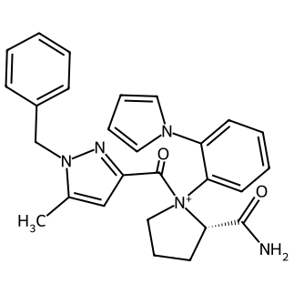 Cc1cc(C(=O)[N+]2(c3ccccc3-n3cccc3)CCC[C@H]2C(N)=O)nn1Cc1ccccc1